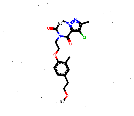 CCOCCc1ccc(OCCN(C(=O)CC)C(=O)c2c(Cl)c(C)nn2C)c(C)c1